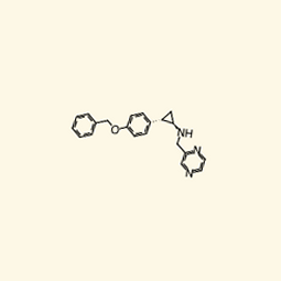 c1ccc(COc2ccc([C@@H]3C[C@H]3NCc3cnccn3)cc2)cc1